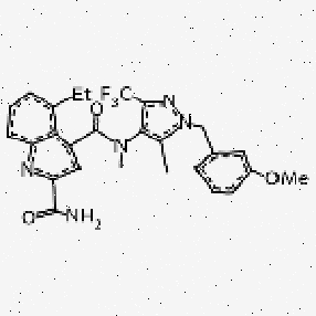 CCc1cccc2nc(C(N)=O)cc(C(=O)N(C)c3c(C(F)(F)F)nn(Cc4cccc(OC)c4)c3C)c12